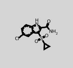 NC(=O)c1[nH]c2ccc(Cl)cc2c1S(=O)(=O)C1CC1